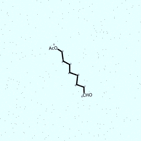 CC(=O)OCCCCCCCC=O